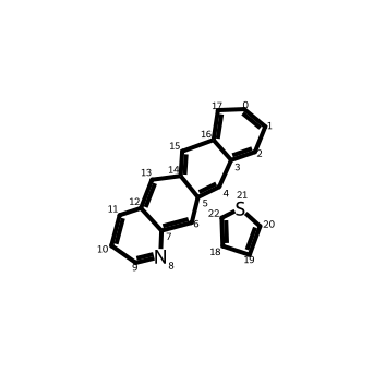 c1ccc2cc3cc4ncccc4cc3cc2c1.c1ccsc1